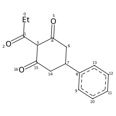 CCC(=O)C1C(=O)CC(c2ccccc2)CC1=O